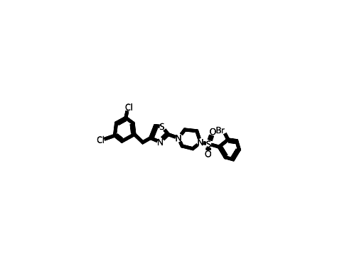 O=S(=O)(c1ccccc1Br)N1CCN(c2nc(Cc3cc(Cl)cc(Cl)c3)cs2)CC1